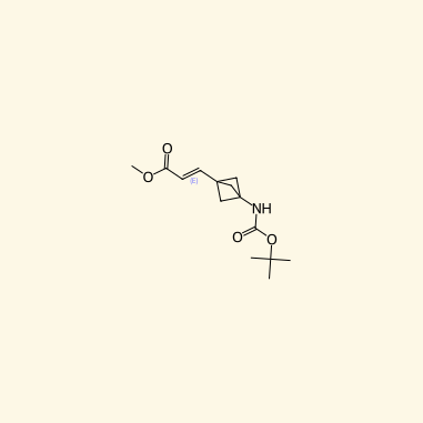 COC(=O)/C=C/C12CC(NC(=O)OC(C)(C)C)(C1)C2